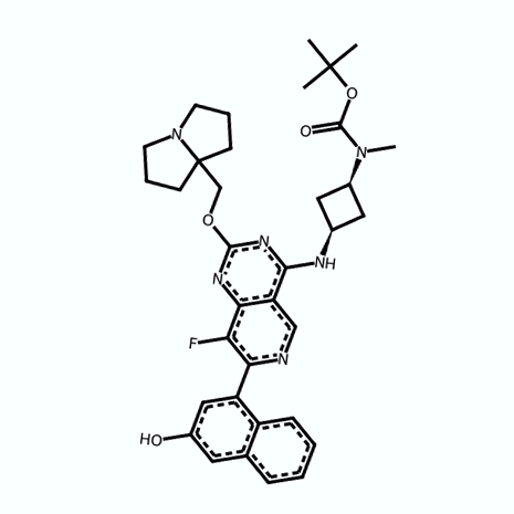 CN(C(=O)OC(C)(C)C)[C@H]1C[C@@H](Nc2nc(OCC34CCCN3CCC4)nc3c(F)c(-c4cc(O)cc5ccccc45)ncc23)C1